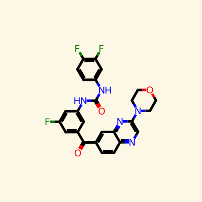 O=C(Nc1cc(F)cc(C(=O)c2ccc3ncc(N4CCOCC4)nc3c2)c1)Nc1ccc(F)c(F)c1